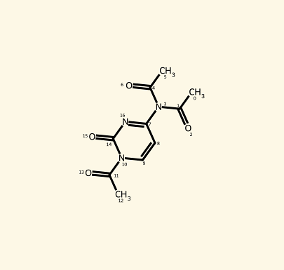 CC(=O)N(C(C)=O)c1ccn(C(C)=O)c(=O)n1